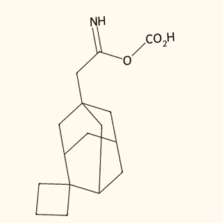 N=C(CC12CC3CC(C1)C1(CCC1)C(C3)C2)OC(=O)O